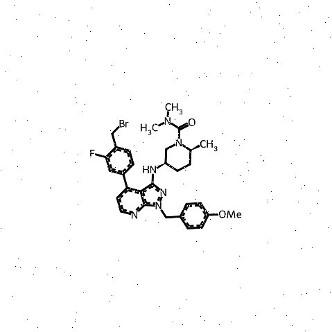 COc1ccc(Cn2nc(N[C@@H]3CC[C@H](C)N(C(=O)N(C)C)C3)c3c(-c4ccc(CBr)c(F)c4)ccnc32)cc1